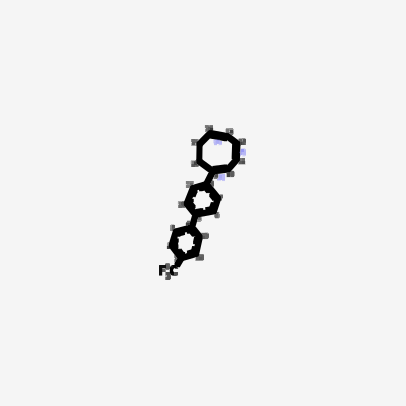 FC(F)(F)c1ccc(-c2ccc(/C3=C/C=C\C=C/CC3)cc2)cc1